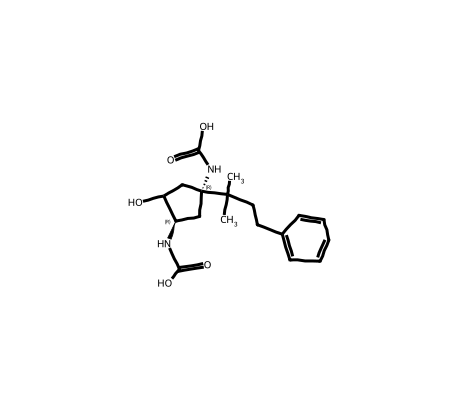 CC(C)(CCc1ccccc1)[C@]1(NC(=O)O)CC(O)[C@H](NC(=O)O)C1